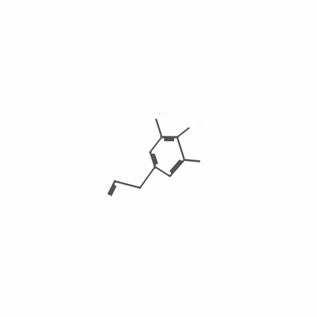 C=CCc1cc(OC)c(OC)c(C(=O)O)c1